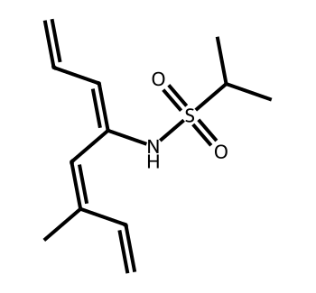 C=C/C=C(\C=C(\C)C=C)NS(=O)(=O)C(C)C